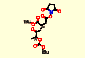 C[C@H](OC(=O)OC(C)(C)C)C(=O)C[C@@H](CC(=O)ON1C(=O)CCC1=O)C(=O)OC(C)(C)C